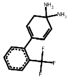 NC1(N)C=CC(c2ccccc2C(F)(F)F)=CC1